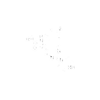 CC(C)(C)[S+]([O-])N[C@](C)(c1ccc(F)cc1)c1cnc(N2CCNCC2)nc1